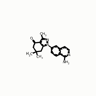 Cc1nn(-c2ccc3c(N)nccc3c2)c2c1C(=O)CC(C)(C)C2